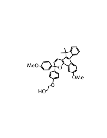 COc1ccc(C2(c3ccc(OCCO)cc3)C=Cc3c4c(c5ccc(OC)cc5c3O2)-c2ccccc2C4(C)C)cc1